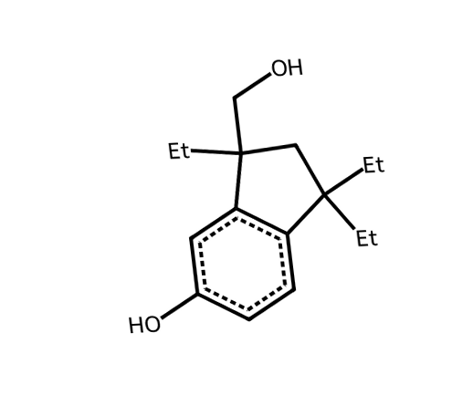 CCC1(CC)CC(CC)(CO)c2cc(O)ccc21